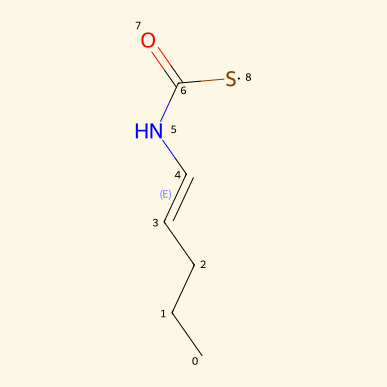 CCC/C=C/NC(=O)[S]